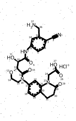 Cl.N#Cc1ccc(NC(=O)[C@H](O)[C@H]2OCCN(c3ccc4c(c3)N(CC(=O)O)C(=O)CC4)C2=O)cc1CN